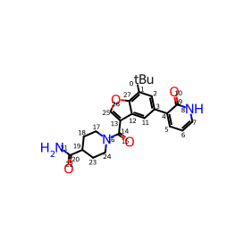 CC(C)(C)c1cc(-c2ccc[nH]c2=O)cc2c(C(=O)N3CCC(C(N)=O)CC3)coc12